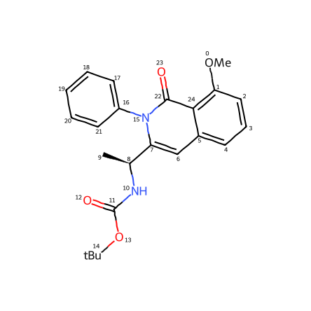 COc1cccc2cc([C@H](C)NC(=O)OC(C)(C)C)n(-c3ccccc3)c(=O)c12